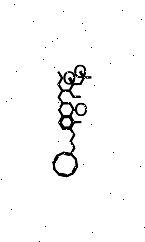 CCCC(CC1CC(=O)c2c(ccc(CCC/C3=C/C=C\C/C=C\C=C/C3)c2C)C1)C(CC)C(=O)CC(C)=O